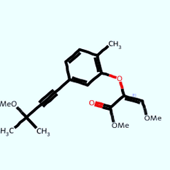 CO/C=C(/Oc1cc(C#CC(C)(C)OC)ccc1C)C(=O)OC